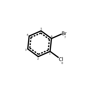 Clc1ccc[c]c1Br